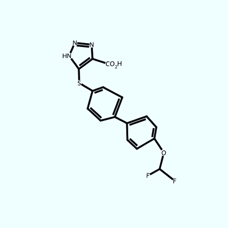 O=C(O)c1nn[nH]c1Sc1ccc(-c2ccc(OC(F)F)cc2)cc1